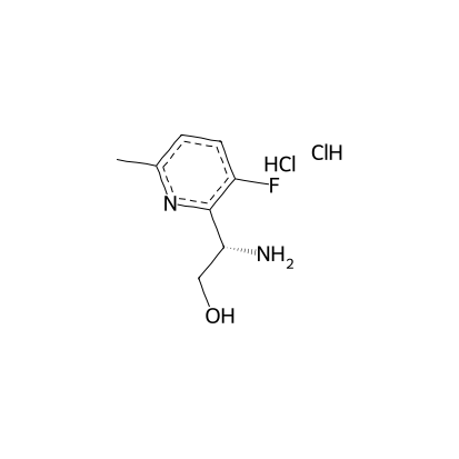 Cc1ccc(F)c([C@H](N)CO)n1.Cl.Cl